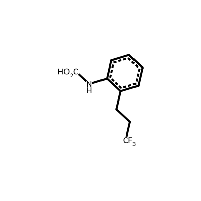 O=C(O)Nc1ccccc1CCC(F)(F)F